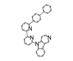 c1ccc(-c2ccc(-c3cccc(-c4cccc(-n5c6ccccc6c6cnccc65)n4)n3)cc2)cc1